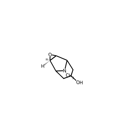 CN1C2CC(O)CC1[C@H]1OC21